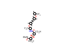 CNC(=O)c1cc(S(=O)(=O)c2ccc(C(=O)O)c(C(=O)Nc3ccc(Oc4c(C)cc(C(C)(C)c5cc(C)c(Oc6ccc(C)cc6C(F)(F)F)c(C)c5)cc4C)c(C(F)(F)F)c3)c2)ccc1C(=O)O